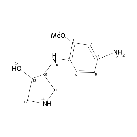 COc1cc(N)ccc1NC1CNCC1O